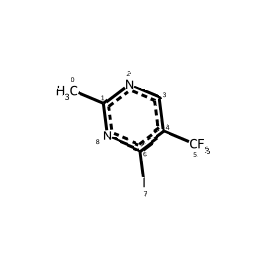 Cc1ncc(C(F)(F)F)c(I)n1